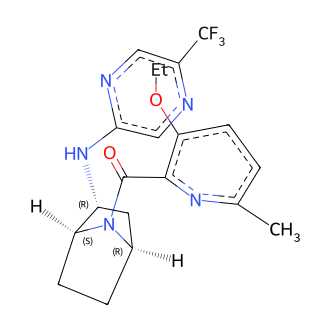 CCOc1ccc(C)nc1C(=O)N1[C@@H]2CC[C@H]1[C@H](Nc1cnc(C(F)(F)F)cn1)C2